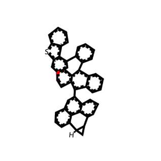 c1ccc(-c2cccc3sc4ccccc4c23)c(-c2c3ccccc3c(-c3cc4cccc5c4c4c(cccc34)C3C[C@H]53)c3ccccc23)c1